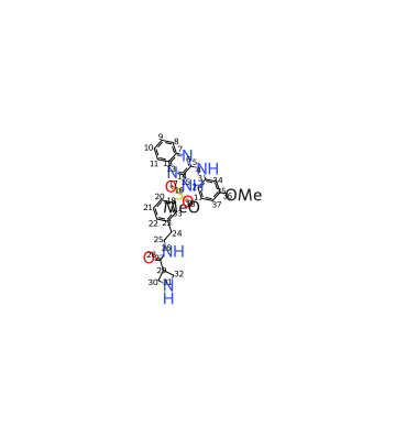 COc1cc(Nc2nc3ccccc3nc2NS(=O)(=O)c2cccc(CCNC(=O)C3CNC3)c2)cc(OC)c1